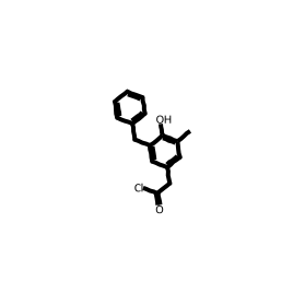 Cc1cc(CC(=O)Cl)cc(Cc2ccccc2)c1O